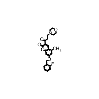 Cc1cc(OCc2ccccc2F)cc2oc(=O)c(C(=O)CCN3CCOCC3)cc12